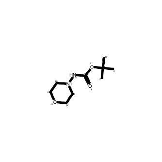 CC(C)(C)OC(=O)NN1CCOCC1